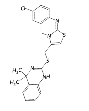 CC1(C)N=C(SCC2=CSC3=Nc4ccc(Cl)cc4CN23)Nc2ccccc21